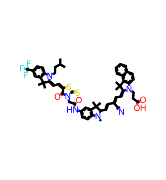 CC(C)CCN1/C(=C\C=C2\SC(=S)N(CC(=O)Nc3ccc4c(c3)C(C)(C)C(/C=C/C(C#N)=C/C=C3/N(CCC(=O)O)c5ccc6ccccc6c5C3(C)C)N4C)C2=O)C(C)(C)c2cc(C(F)(F)F)ccc21